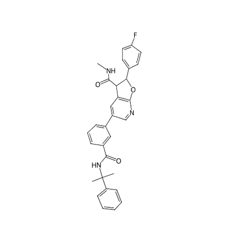 CNC(=O)C1c2cc(-c3cccc(C(=O)NC(C)(C)c4ccccc4)c3)cnc2OC1c1ccc(F)cc1